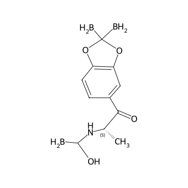 BC(O)N[C@@H](C)C(=O)c1ccc2c(c1)OC(B)(B)O2